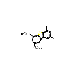 CCCCCCCCc1cc(CCCCCCCC)c2sc3c(C)cc(C)cc3c2c1